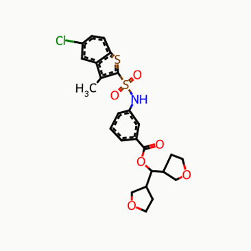 Cc1c(S(=O)(=O)Nc2cccc(C(=O)OC(C3CCOC3)C3CCOC3)c2)sc2ccc(Cl)cc12